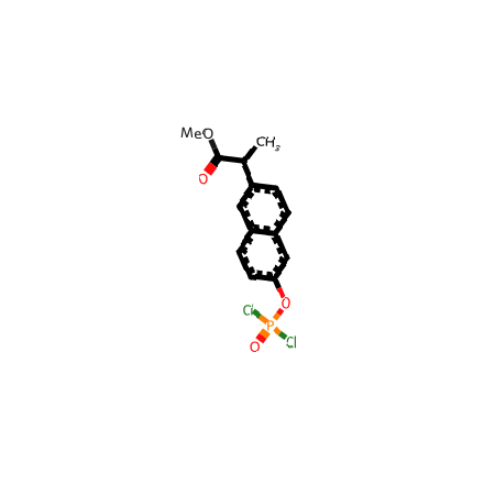 COC(=O)C(C)c1ccc2cc(OP(=O)(Cl)Cl)ccc2c1